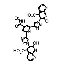 CCNC(=O)c1cc(-c2cn(-c3c(O)nc4ncccc4c3C(=O)O)nn2)nc(-c2cn(-c3c(O)nc4ncccc4c3C(=O)O)nn2)c1